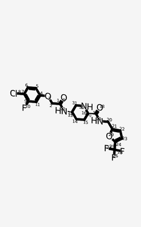 O=C(COc1ccc(Cl)c(F)c1)N[C@H]1CC[C@H](C(=O)NCc2ccc(C(F)(F)F)o2)NC1